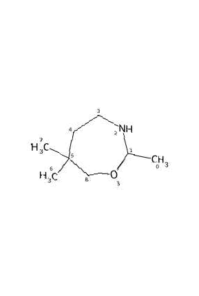 CC1NCCC(C)(C)CO1